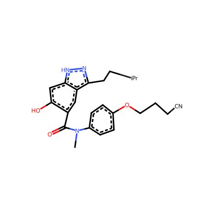 CC(C)CCc1n[nH]c2cc(O)c(C(=O)N(C)c3ccc(OCCCC#N)cc3)cc12